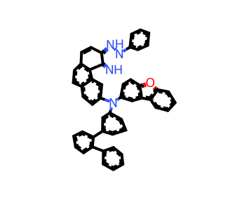 N=C1/C(=N\Nc2ccccc2)C=Cc2ccc3ccc(N(c4cccc(-c5ccccc5-c5ccccc5)c4)c4ccc5oc6ccccc6c5c4)cc3c21